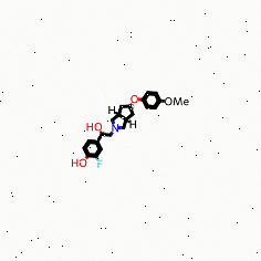 COc1ccc(O[C@H]2C[C@@H]3CN(C[C@H](O)c4ccc(O)c(F)c4)C[C@@H]3C2)cc1